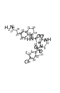 Cc1cc(S(=O)(=O)N2CCNC(=O)[C@H]2CC(=O)N[C@@H]2CCCc3cc(CCCN)ccc32)c(C)cc1Cl